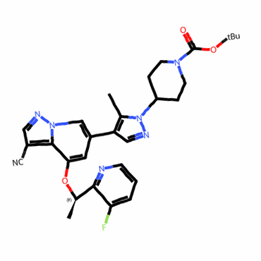 Cc1c(-c2cc(O[C@H](C)c3ncccc3F)c3c(C#N)cnn3c2)cnn1C1CCN(C(=O)OC(C)(C)C)CC1